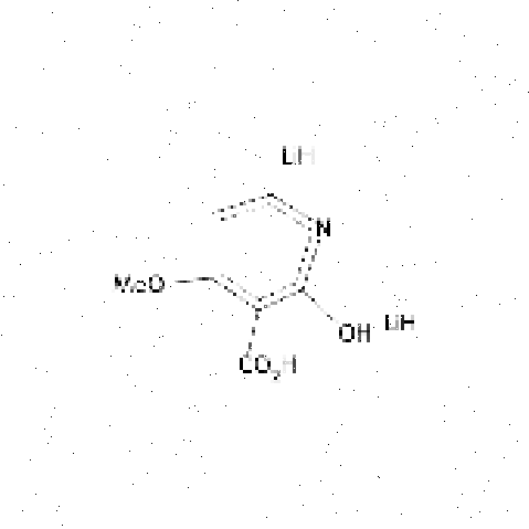 COc1ccnc(O)c1C(=O)O.[LiH].[LiH]